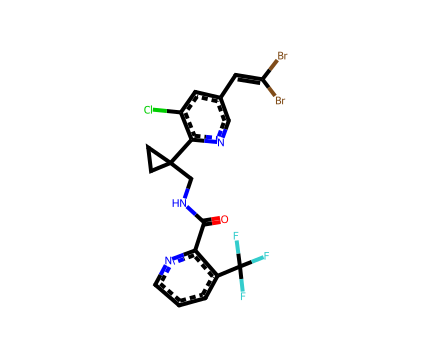 O=C(NCC1(c2ncc(C=C(Br)Br)cc2Cl)CC1)c1ncccc1C(F)(F)F